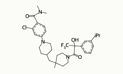 CC(C)c1cccc(C(O)(C(=O)N2CCC(C)(CC3CCN(c4ccc(C(=O)N(C)C)c(Cl)c4)CC3)CC2)C(F)(F)F)c1